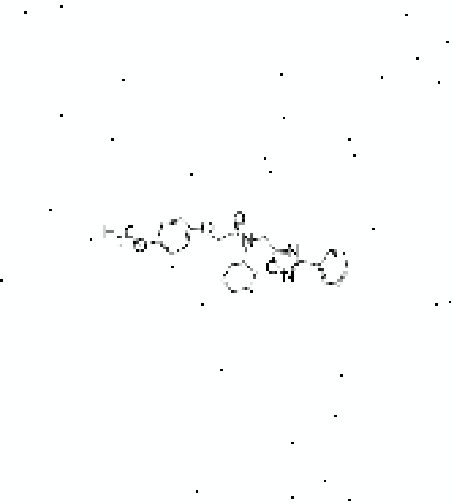 COc1ccc(OCC(=O)N(Cc2nc(-c3ccccc3)no2)C2CCCCC2)cc1